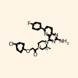 C[C@H]1CN(C(=O)COc2ccc(Cl)cc2)CCN1c1nc(N)nc2ccc(-c3ccc(F)cc3)nc12